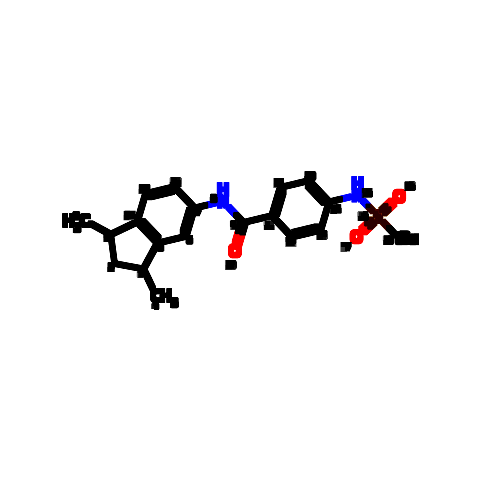 CC1CC(C)c2cc(NC(=O)c3ccc(NS(=O)(=O)C(C)(C)C)cc3)ccc21